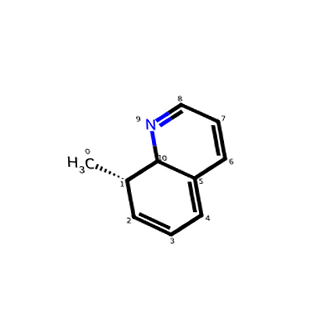 C[C@H]1C=CC=C2C=CC=NC21